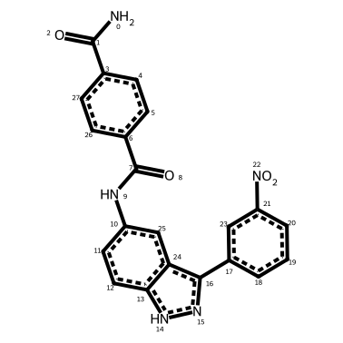 NC(=O)c1ccc(C(=O)Nc2ccc3[nH]nc(-c4cccc([N+](=O)[O-])c4)c3c2)cc1